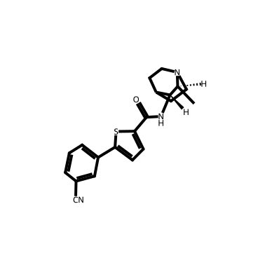 C[C@H]1[C@H](NC(=O)c2ccc(-c3cccc(C#N)c3)s2)C2CCN1CC2